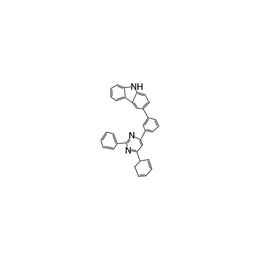 C1=CCC(c2cc(-c3cccc(-c4ccc5[nH]c6ccccc6c5c4)c3)nc(-c3ccccc3)n2)C=C1